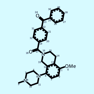 COc1ccc(N2CCN(C)CC2)c2c1CCN(C(=O)c1ccc(C(=O)c3ccccc3)cc1)C2